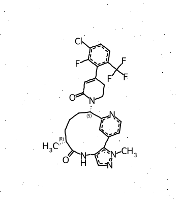 C[C@@H]1CCC[C@H](N2CCC(c3c(C(F)(F)F)ccc(Cl)c3F)=CC2=O)c2cc(ccn2)-c2c(cnn2C)NC1=O